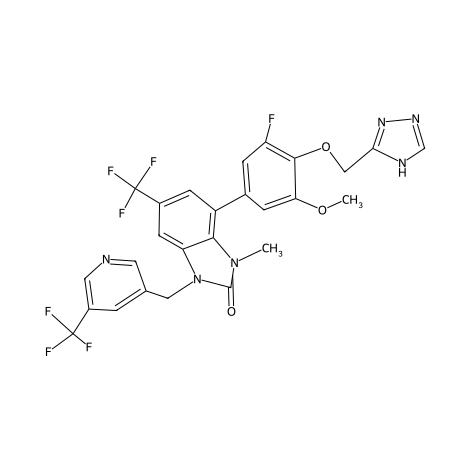 COc1cc(-c2cc(C(F)(F)F)cc3c2n(C)c(=O)n3Cc2cncc(C(F)(F)F)c2)cc(F)c1OCc1nnc[nH]1